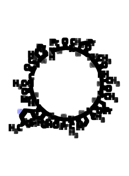 CC[C@@H]1NC(=O)C([C@H](O)[C@H](C)C/C=C\C(C)O)N(C)C(=O)[C@H](C(C)C)N(C)C(=O)[C@H](CC(C)C)N(C)C(=O)[C@H](CC(C)C)N(C)C(=O)[C@H](C)NC(=O)[C@H](C)NC(=O)[C@H](CC(C)C)N(C)C(=O)[C@H](C(C)C)NC(=O)[C@H](CC(C)C)N(C)C(=O)CN(C)C1=O